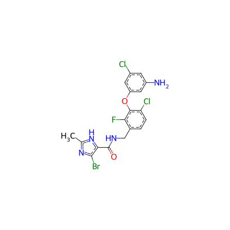 Cc1nc(Br)c(C(=O)NCc2ccc(Cl)c(Oc3cc(N)cc(Cl)c3)c2F)[nH]1